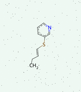 [CH2]CC=CSc1cccnc1